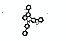 c1ccc(-c2ccc(N(c3ccccc3)c3cc4oc5ccccc5c4cc3-c3ccc4oc5ccccc5c4c3)cc2)cc1